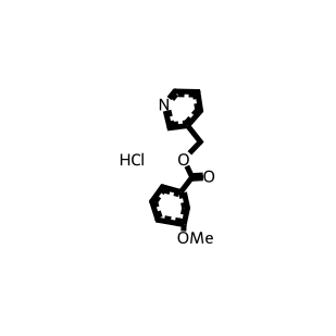 COc1cccc(C(=O)OCc2cccnc2)c1.Cl